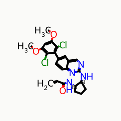 C=CC(=O)N[C@H]1CCC[C@@H]1Nc1ncc2cc(-c3c(Cl)c(OC)cc(OC)c3Cl)ccc2n1